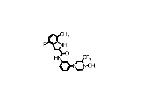 Cc1ccc(F)c2c1NC(C(=O)Nc1cccc(N3CCN(C)C(C(F)(F)F)C3)c1)C2